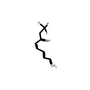 C=C/C=C/C=C\C(=N)CC(F)(F)F